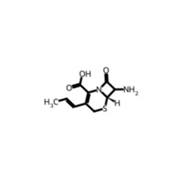 CC=CC1=C(C(=O)O)N2C(=O)C(N)[C@@H]2SC1